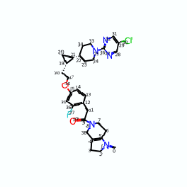 CN1CCC2=C1CCN(C(=O)Cc1ccc(OCC[C@@H]3C[C@@H]3C3CCN(c4ncc(Cl)cn4)CC3)cc1F)C2